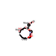 CCOCCO[C@@H]1CC[C@@H](C[C@@H](C)[C@@H]2CC(=O)[C@H](C)/C=C(\C)[C@@H](O)[C@@H](OC)C(=O)[C@H](C)C[C@H](C)/C=C/C=C/C=C(\C)C(OC)C[C@@H]3CC[C@@H](C)[C@@](O)(O3)C(=O)C(=O)N3CCCCC3C(=O)O2)C[C@H]1OC